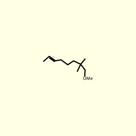 C/C=C/CCCC(C)(C)COC